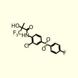 CC(O)(C(=O)Nc1ccc(S(=O)(=O)c2ccc(F)cc2)cc1Cl)C(F)(F)F